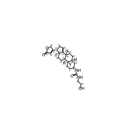 C[C@]12CC[C@H](NC(=O)NCCO)C[C@H]1CC[C@H]1C3=CC[C@H](C4=CC(=O)OC4)[C@@]3(C)CC[C@@H]12